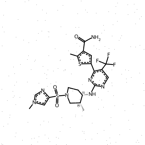 Cc1sc(-c2nc(N[C@H]3CCN(S(=O)(=O)c4cn(C)cn4)C[C@H]3C)ncc2C(F)(F)F)cc1C(N)=O